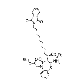 CCOC(=O)[C@H](CCCCCCCCCN1C(=O)c2ccccc2C1=O)[C@@H]1C(=O)N(CC(=O)OC(C)(C)C)c2ccccc2SC1N